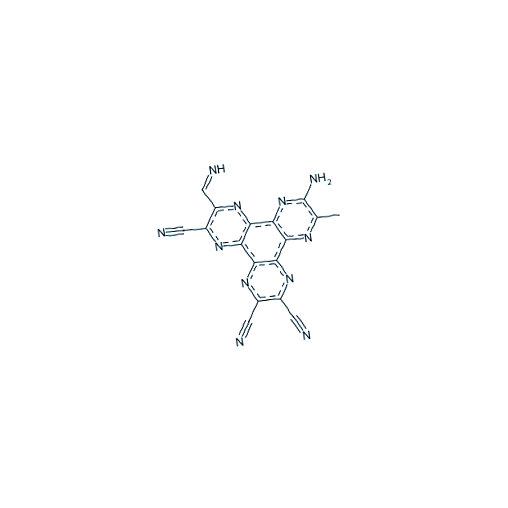 Cc1nc2c(nc1N)c1nc(C=N)c(C#N)nc1c1nc(C#N)c(C#N)nc21